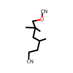 CC(CCC#N)CC(C)(C)COC#N